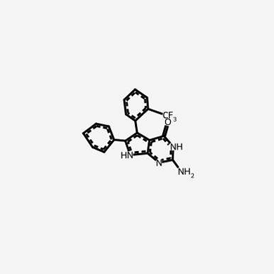 Nc1nc2[nH]c(-c3ccccc3)c(-c3ccccc3C(F)(F)F)c2c(=O)[nH]1